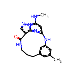 CNc1cc2nc3c(cnn13)C(=O)NCCCc1cc(C)cc(c1)N2